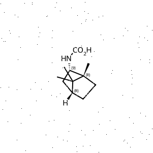 CC1(C)[C@@H]2CC[C@@]1(C)[C@@H](NC(=O)O)C2